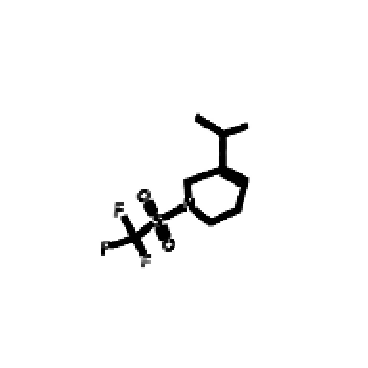 CC(C)C1=CCCN(S(=O)(=O)C(F)(F)F)C1